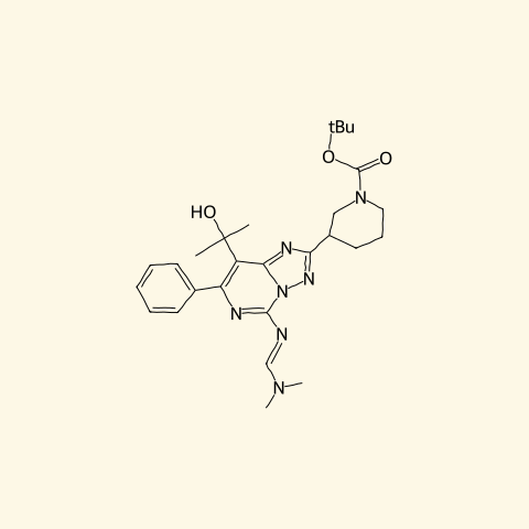 CN(C)C=Nc1nc(-c2ccccc2)c(C(C)(C)O)c2nc(C3CCCN(C(=O)OC(C)(C)C)C3)nn12